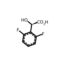 O=C(O)[C@H](O)c1c(F)cccc1F